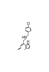 C=C/C=C(/CCNCc1ccc(Cl)cc1)c1[nH]ccc1C